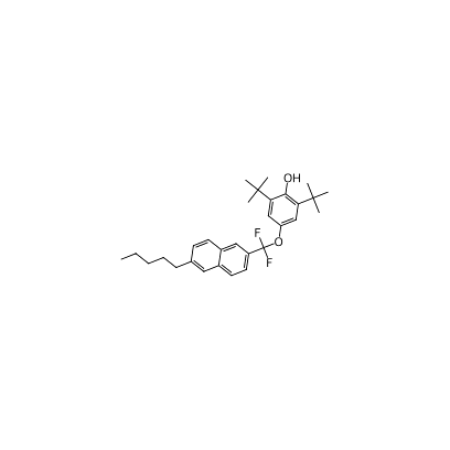 CCCCCc1ccc2cc(C(F)(F)Oc3cc(C(C)(C)C)c(O)c(C(C)(C)C)c3)ccc2c1